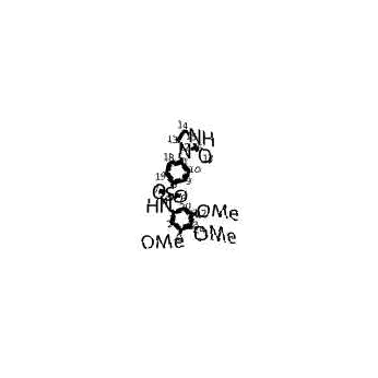 COc1cc(NS(=O)(=O)c2ccc(N3CCNC3=O)cc2)cc(OC)c1OC